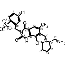 CCS(=O)(=O)c1ccc(Cl)cc1Cn1c(=O)[nH]c2c(Cl)c(CN3CCCC[C@@H]3CN)c(C(F)(F)F)cc2c1=O